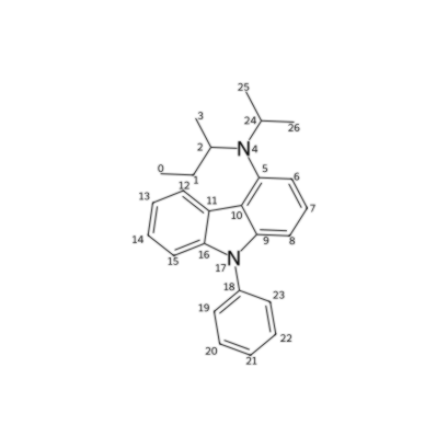 CCC(C)N(c1cccc2c1c1ccccc1n2-c1ccccc1)C(C)C